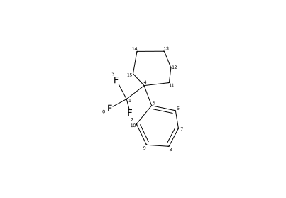 FC(F)(F)C1(c2ccccc2)CCCCC1